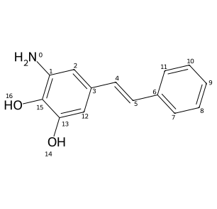 Nc1cc(/C=C/c2ccccc2)cc(O)c1O